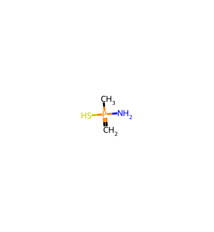 C=P(C)(N)S